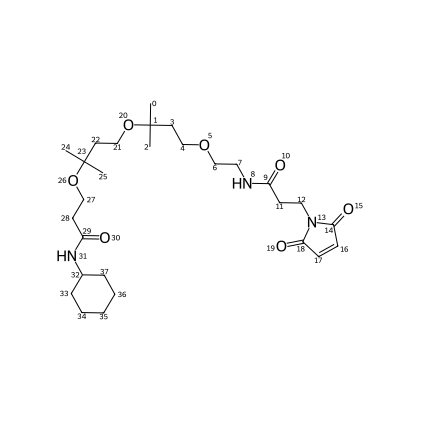 CC(C)(CCOCCNC(=O)CCN1C(=O)C=CC1=O)OCCC(C)(C)OCCC(=O)NC1CCCCC1